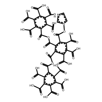 O=C(O)c1c(C(=O)O)c(C(=O)O)c(C(=O)OC(=O)c2c(C(=O)O)c(C(=O)O)c(C(=O)O)c(C(=O)On3ccnc3)c2C(=O)OC(=O)c2c(C(=O)O)c(C(=O)O)c(C(=O)O)c(C(=O)O)c2C(=O)O)c(C(=O)O)c1C(=O)O